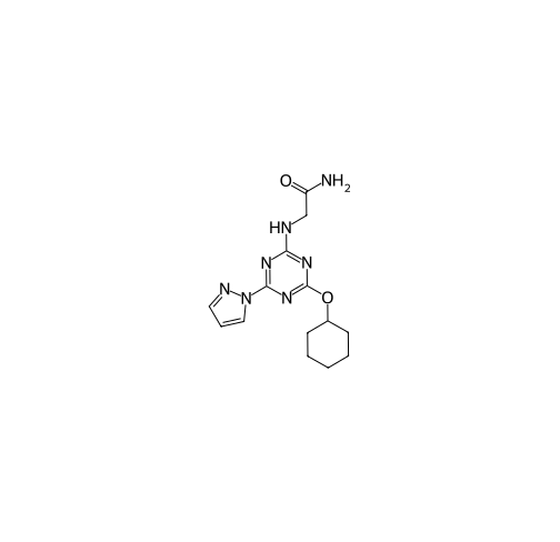 NC(=O)CNc1nc(OC2CCCCC2)nc(-n2cccn2)n1